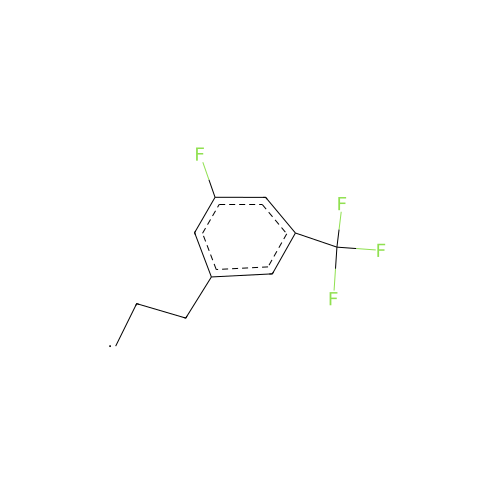 [CH2]CCc1cc(F)cc(C(F)(F)F)c1